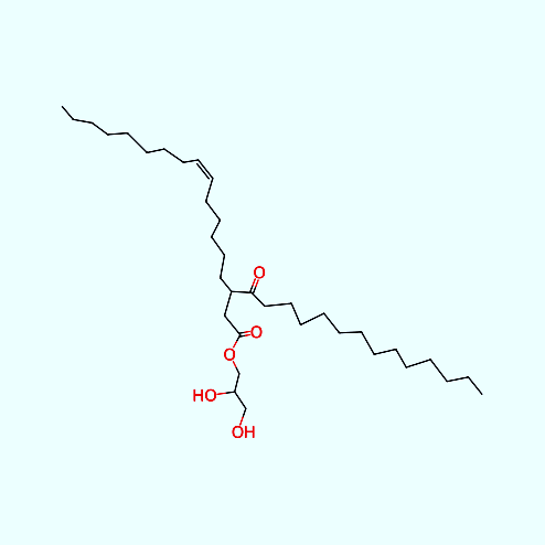 CCCCCCCC/C=C\CCCCCC(CC(=O)OCC(O)CO)C(=O)CCCCCCCCCCCCC